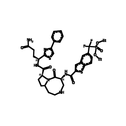 CCOP(=O)(OCC)C(F)(F)c1ccc2sc(C(=O)N[C@H]3CNCCC4CC[C@@H](C(=O)N[C@@H](CCC(N)=O)c5nc(-c6ccccc6)cs5)N4C3=O)cc2c1